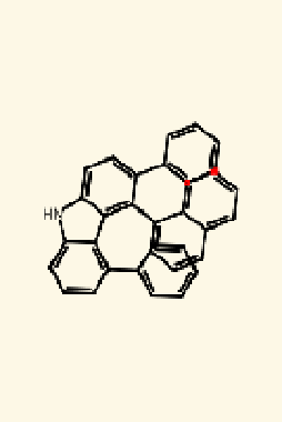 c1ccc(-c2ccc3[nH]c4cccc(-c5ccccc5)c4c3c2-c2cccc3ccccc23)cc1